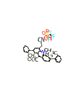 Cc1ccccc1-c1cc(CCC#N)c2c(c1)c(C(=O)[O-])c1ccc(-c3ccccc3C)cc1[n+]2C.O=S(=O)(O)C(F)(F)F